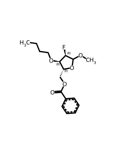 CCCCO[C@@H]1[C@@H](COC(=O)c2ccccc2)OC(OC)[C@@H]1F